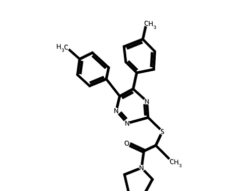 Cc1ccc(-c2nnc(SC(C)C(=O)N3CCCC3)nc2-c2ccc(C)cc2)cc1